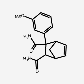 COc1cccc(C2(C(N)=O)C3C=CC(C3)C2C(N)=O)c1